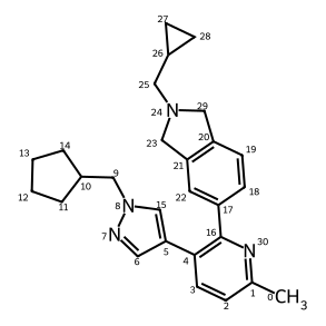 Cc1ccc(-c2cnn(CC3CCCC3)c2)c(-c2ccc3c(c2)CN(CC2CC2)C3)n1